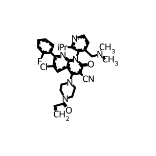 C=CC(=O)N1CCN(c2c(C#N)c(=O)n(-c3c(CN(C)C)ccnc3C(C)C)c3nc(-c4ccccc4F)c(Cl)cc23)CC1